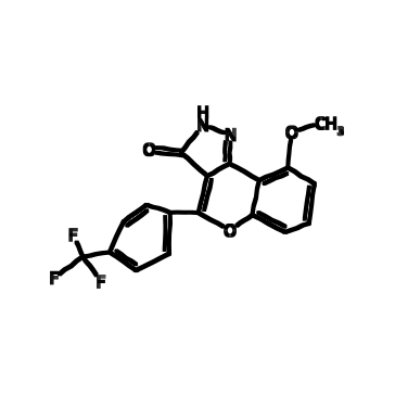 COc1cccc2oc(-c3ccc(C(F)(F)F)cc3)c3c(=O)[nH]nc-3c12